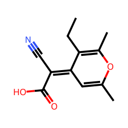 CCC1=C(C)OC(C)=CC1=C(C#N)C(=O)O